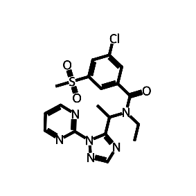 CCN(C(=O)c1cc(Cl)cc(S(C)(=O)=O)c1)C(C)c1ncnn1-c1ncccn1